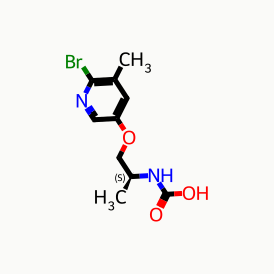 Cc1cc(OC[C@H](C)NC(=O)O)cnc1Br